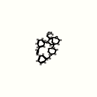 CCC1=C2CC(N3CCN(Cc4ccccc4)CC3)(CCO2)CN1c1cccc(C#N)c1